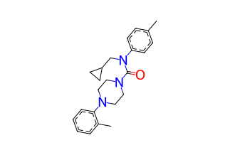 Cc1ccc(N(CC2CC2)C(=O)N2CCN(c3ccccc3C)CC2)cc1